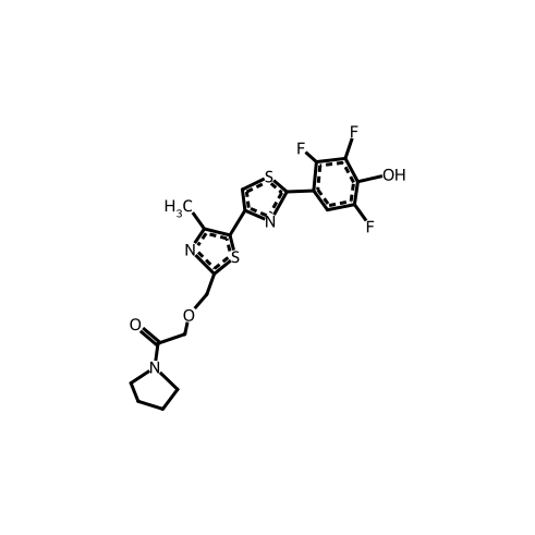 Cc1nc(COCC(=O)N2CCCC2)sc1-c1csc(-c2cc(F)c(O)c(F)c2F)n1